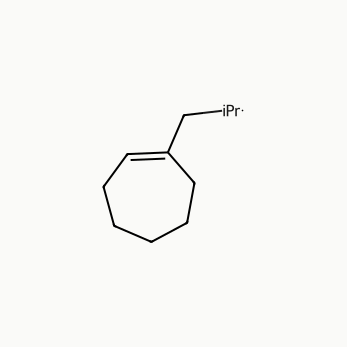 C[C](C)CC1=CCCCCC1